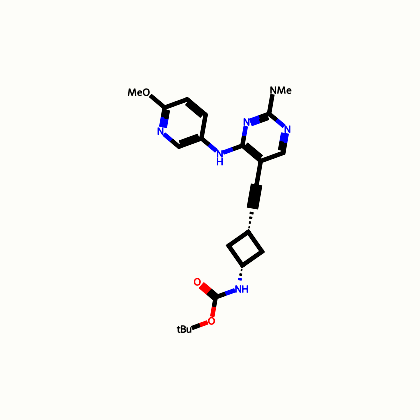 CNc1ncc(C#C[C@H]2C[C@@H](NC(=O)OC(C)(C)C)C2)c(Nc2ccc(OC)nc2)n1